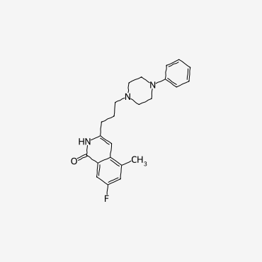 Cc1cc(F)cc2c(=O)[nH]c(CCCN3CCN(c4ccccc4)CC3)cc12